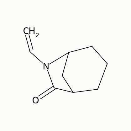 C=CN1C(=O)C2CCCC1C2